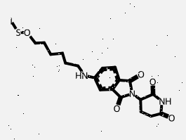 O=C1CCC(N2C(=O)c3ccc(NCCCCCCOSI)cc3C2=O)C(=O)N1